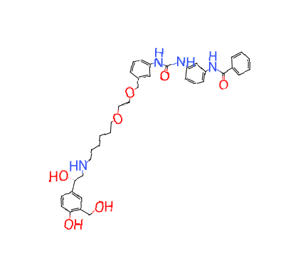 O=C(Nc1cccc(COCCOCCCCCCNC[C@@H](O)c2ccc(O)c(CO)c2)c1)Nc1cccc(NC(=O)c2ccccc2)c1